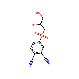 N#Cc1ccc(S(=O)(=O)CC(O)CO)cc1C#N